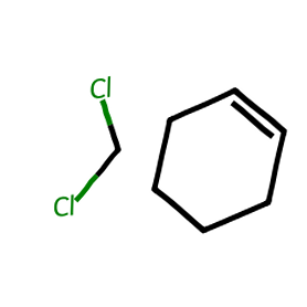 C1=CCCCC1.ClCCl